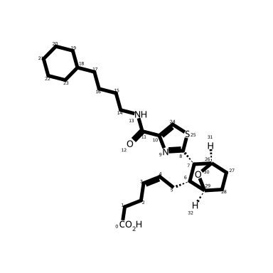 O=C(O)CC/C=C\C[C@@H]1[C@H](c2nc(C(=O)NCCCCC3CCCCC3)cs2)[C@H]2CC[C@@H]1O2